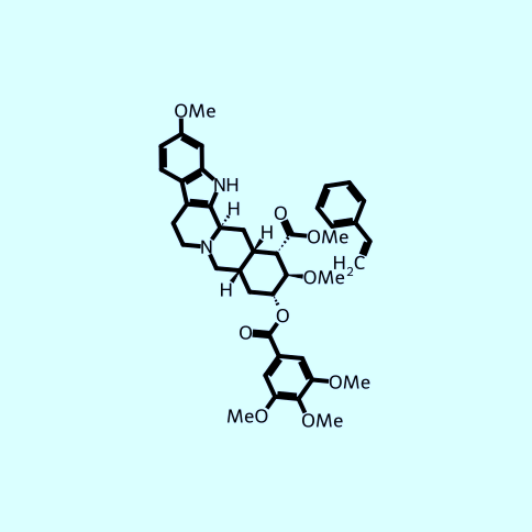 C=Cc1ccccc1.COC(=O)[C@H]1[C@H]2C[C@@H]3c4[nH]c5cc(OC)ccc5c4CCN3C[C@H]2C[C@@H](OC(=O)c2cc(OC)c(OC)c(OC)c2)[C@@H]1OC